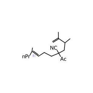 C=C(C)C(C)CC(C#N)(CC/C=C(\C)CCC)C(C)=O